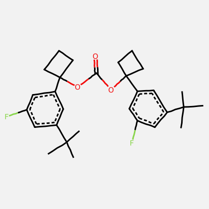 CC(C)(C)c1cc(F)cc(C2(OC(=O)OC3(c4cc(F)cc(C(C)(C)C)c4)CCC3)CCC2)c1